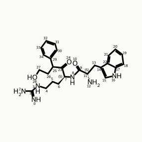 N=C(N)NCCC[C@H](NC(=O)[C@@H](N)Cc1c[nH]c2ccccc12)C(=O)C(CCO)c1ccccc1